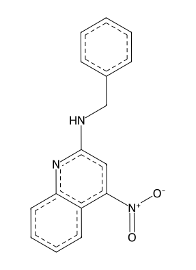 O=[N+]([O-])c1cc(NCc2ccccc2)nc2ccccc12